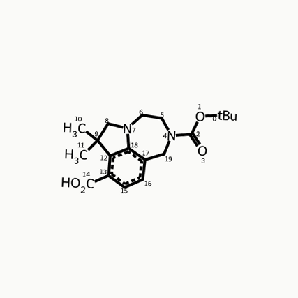 CC(C)(C)OC(=O)N1CCN2CC(C)(C)c3c(C(=O)O)ccc(c32)C1